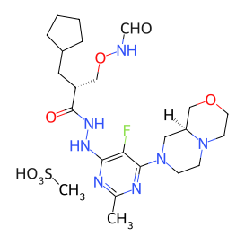 CS(=O)(=O)O.Cc1nc(NNC(=O)[C@@H](CONC=O)CC2CCCC2)c(F)c(N2CCN3CCOC[C@@H]3C2)n1